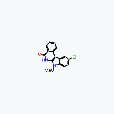 COn1c2ccc(Cl)cc2c2c3ccccc3c(=O)[nH]c21